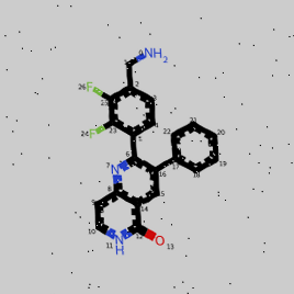 NCc1ccc(-c2nc3cc[nH]c(=O)c3cc2-c2ccccc2)c(F)c1F